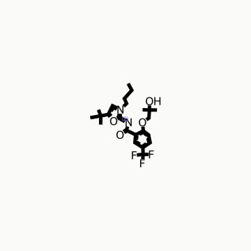 CCCCn1cc(C(C)(C)C)o/c1=N\C(=O)c1cc(C(F)(F)F)ccc1OCC(C)(C)O